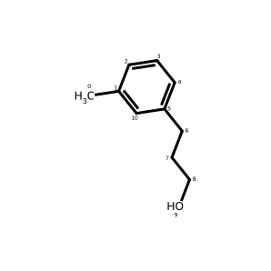 Cc1cccc(CCCO)c1